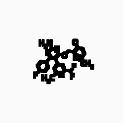 Cc1cc(-c2c(OCc3nn(C)ccc3=O)nc(N)nc2-c2ccc(F)cc2)cc(C(F)F)n1